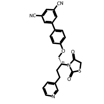 N#Cc1cc(C#N)cc(-c2ccc(OC[C@@H](CCc3cccnc3)N3C(=O)CSC3=O)cc2)c1